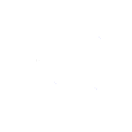 CCCN(CCC)CCc1c[nH]c2ccc(C#N)cc12